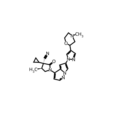 C[C@@H]1CN(c2ccnn3cc(-n4cc(C5CN(C)CCO5)cn4)cc23)C(=O)[C@]1(C#N)C1CC1